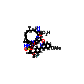 COc1ccc2c(O[C@@H]3C[C@H]4C(=O)N[C@]5(C(=O)NS(=O)(=O)C6CC6)C[C@H]5/C=C\CC[C@@H](C)C[C@@H](C)[C@H](NC(=O)O)C(=O)N4C3)nc(-c3ccc(OC(C)C)c(F)c3)cc2c1